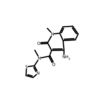 CN(C(=O)c1c(N)c2ccccc2n(C)c1=O)c1nccs1